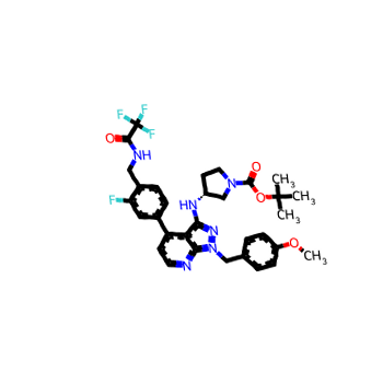 COc1ccc(Cn2nc(N[C@@H]3CCN(C(=O)OC(C)(C)C)C3)c3c(-c4ccc(CNC(=O)C(F)(F)F)c(F)c4)ccnc32)cc1